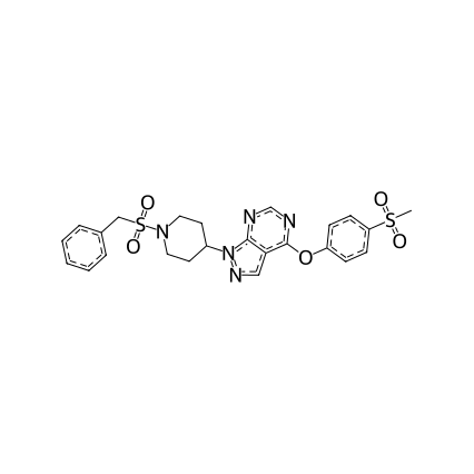 CS(=O)(=O)c1ccc(Oc2ncnc3c2cnn3C2CCN(S(=O)(=O)Cc3ccccc3)CC2)cc1